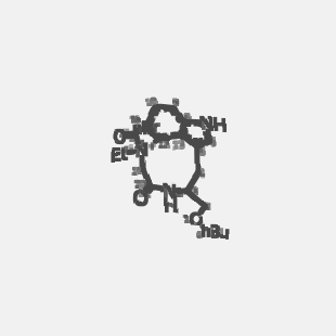 CCCCOCC1Cc2c[nH]c3cccc(c23)[N+](CC)(C(=O)CCC)CC(=O)N1